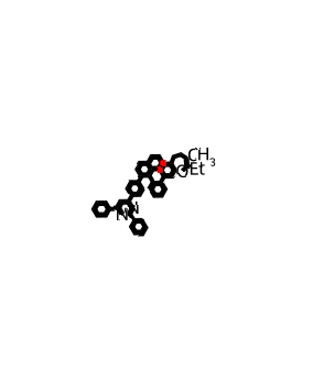 CCC1=C(C)CCc2ccc(-c3ccccc3-c3c(-c4ccc(-c5cc(-c6ccccc6)nc(-c6ccccc6)n5)cc4)ccc4ccccc34)cc2O1